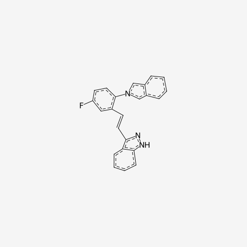 Fc1ccc(-n2cc3ccccc3c2)c(C=Cc2n[nH]c3ccccc23)c1